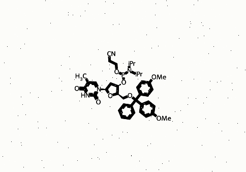 COc1ccc(C(OC[C@H]2O[C@@H](n3cc(C)c(=O)[nH]c3=O)C[C@@H]2OP(OCCC#N)N(C(C)C)C(C)C)(c2ccccc2)c2ccc(OC)cc2)cc1